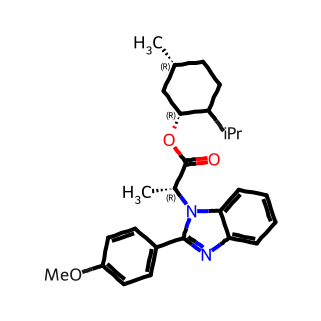 COc1ccc(-c2nc3ccccc3n2[C@H](C)C(=O)O[C@@H]2C[C@H](C)CCC2C(C)C)cc1